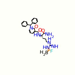 BP(F)NC(=N)NCCC[C@H](NC(=O)c1cccn(C(c2ccccc2)c2ccccc2)c1=O)C(N)=O